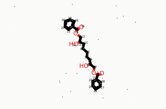 O=C(OCC(O)CCCCCC(O)COC(=O)c1ccccc1)c1ccccc1